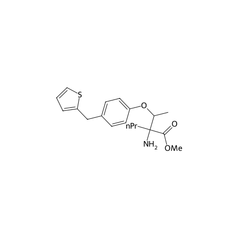 CCCC(N)(C(=O)OC)C(C)Oc1ccc(Cc2cccs2)cc1